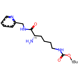 CC(C)(C)OC(=O)NCCCC[C@H](N)C(=O)NCc1ccccn1